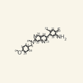 COc1ccc(CN(C)c2cc3ncc(-c4cc(N)c(F)cc4C)cc3cn2)cc1